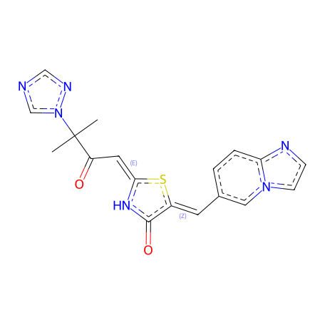 CC(C)(C(=O)/C=c1\[nH]c(=O)/c(=C/c2ccc3nccn3c2)s1)n1cncn1